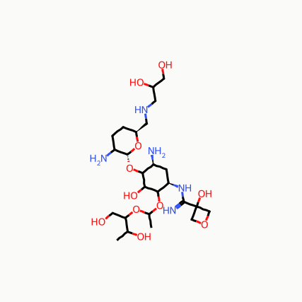 CC(OC(CO)C(C)O)OC1C(O)C(O[C@H]2O[C@H](CNCC(O)CO)CCC2N)[C@@H](N)C[C@H]1NC(=N)C1(O)COC1